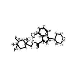 C=C(NCC1(O)CCC(F)(F)C(C)C1)c1cc(C2CCOCC2)n2cccc(Cl)c12